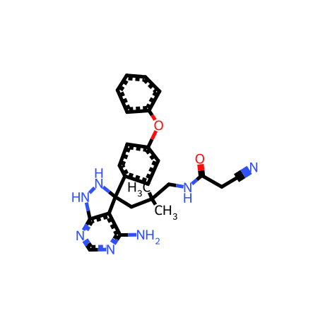 CC(C)(CNC(=O)CC#N)CC1(c2ccc(Oc3ccccc3)cc2)NNc2ncnc(N)c21